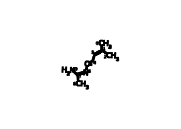 CC(C)=CCO/N=C(/C)N